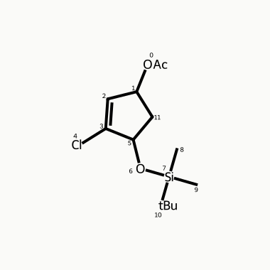 CC(=O)OC1C=C(Cl)C(O[Si](C)(C)C(C)(C)C)C1